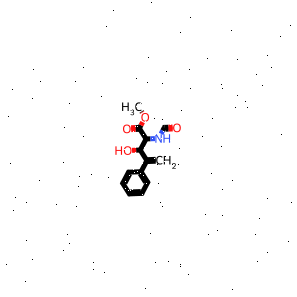 C=C(c1ccccc1)C(O)C(NC=O)C(=O)OC